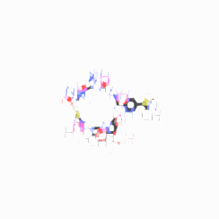 Cc1ncsc1-c1ccc([C@H]2NC(=O)[C@@H]3C[C@@H](O)CN3C(=O)[C@H](C(C)(C)C)NC(=O)CSC[C@H](C(N)=O)NC(=O)[C@@H](CN)NC(=O)CNC2=O)cc1